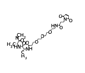 C=NC(=O)[C@@H](C)NC(=O)[C@@H](C)NC(=O)CCOCCOCCOCCNC(=O)CCN1C(=O)C=CC1=O